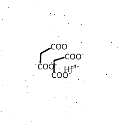 O=C([O-])CC(=O)[O-].O=C([O-])CC(=O)[O-].[Hf+4]